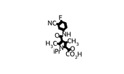 Cc1c(C(=O)Nc2ccc(F)c(C#N)c2)c(C)n(C(C)C)c1C(=O)C(=O)O